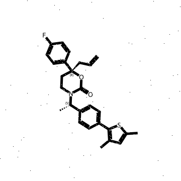 C=CC[C@]1(c2ccc(F)cc2)CCN([C@@H](C)c2ccc(-c3sc(C)cc3C)cc2)C(=O)O1